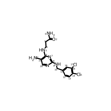 NC(=O)CCNc1nc(NCc2ccc(Cl)c(Cl)c2)ncc1N